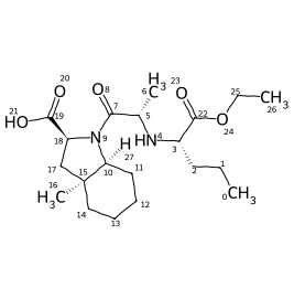 CCC[C@H](N[C@@H](C)C(=O)N1[C@H]2CCCC[C@@]2(C)C[C@H]1C(=O)O)C(=O)OCC